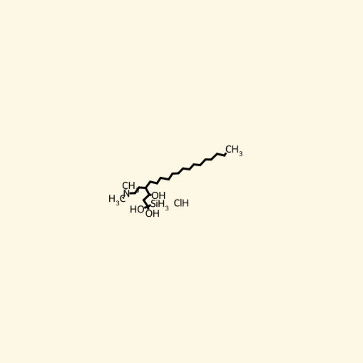 CCCCCCCCCCCCCCCC(CCN(C)C)C(O)CC(O)(O)[SiH3].Cl